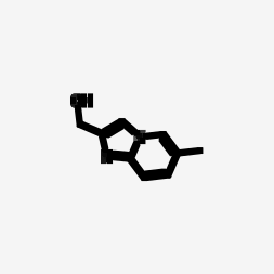 Cc1ccc2nc(CO)cn2c1